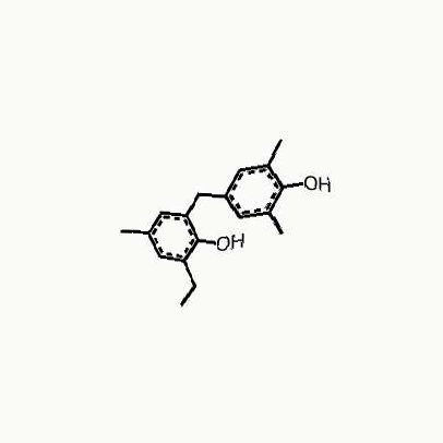 CCc1cc(C)cc(Cc2cc(C)c(O)c(C)c2)c1O